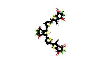 Cc1c(-c2ccc(-c3sc(-c4ccc(-c5sc6c(c5C)C(=O)C(F)(F)C6=O)s4)c4c3C(=O)C(F)(F)C4=O)s2)sc2c1C(=O)C(F)(F)C2=O